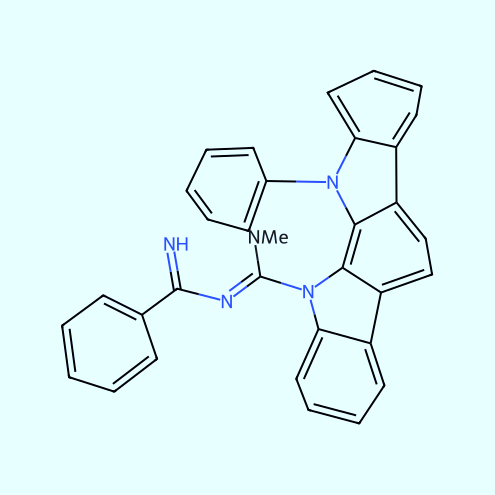 CN/C(=N\C(=N)c1ccccc1)n1c2ccccc2c2ccc3c4ccccc4n(-c4ccccc4)c3c21